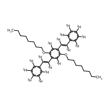 [2H]/C(=C(/[2H])c1c([2H])c(OCCCCCCCC)c(/C([2H])=C(\[2H])c2c([2H])c([2H])c([2H])c([2H])c2[2H])c([2H])c1OCCCCCCCC)c1c([2H])c([2H])c([2H])c([2H])c1[2H]